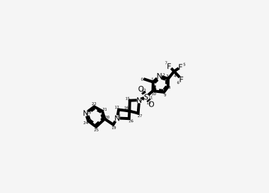 Cc1nc(C(F)(F)F)ccc1S(=O)(=O)N1CC2(CN(Cc3ccncc3)C2)C1